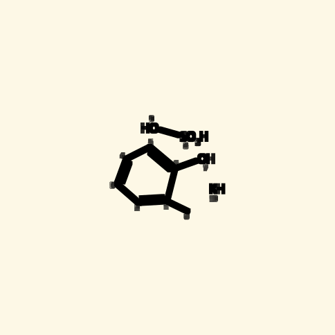 Cc1ccccc1O.O=S(=O)(O)O.[KH]